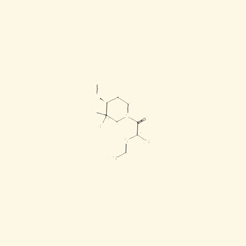 CO[C@H]1CCN(C(=O)C(N)NCN)CC1(F)F